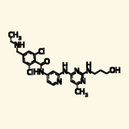 CCNCc1cc(Cl)c(C(=O)Nc2ccnc(Nc3cc(C)nc(NCCCO)n3)c2)c(Cl)c1